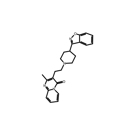 Cc1nc2ccccn2c(=O)c1CCN1CCC(c2noc3ccccc23)CC1